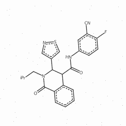 CC(C)CN1C(=O)c2ccccc2C(C(=O)Nc2ccc(F)c(C#N)c2)C1c1cnsc1